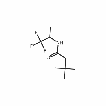 CC(NC(=O)CC(C)(C)C)C(F)(F)F